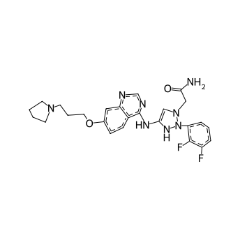 NC(=O)CN1C=C(Nc2ncnc3cc(OCCCN4CCCC4)ccc23)NN1c1cccc(F)c1F